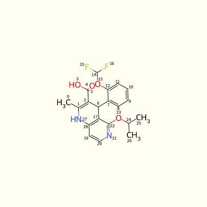 CC1=C(C(=O)O)C(c2ccccc2OC(F)F)c2c(ccnc2OC(C)C)N1